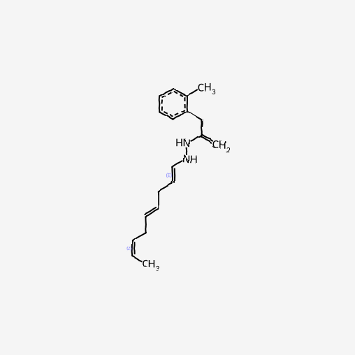 C=C(Cc1ccccc1C)NN/C=C/CC=CC/C=C\C